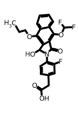 CCCOc1c2c(c(OC(F)F)c3ccccc13)C(=O)N(c1ccc(CC(=O)O)cc1F)C2O